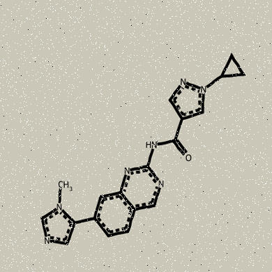 Cn1cncc1-c1ccc2cnc(NC(=O)c3cnn(C4CC4)c3)nc2c1